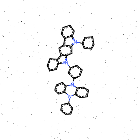 c1ccc(N2c3ccccc3N(c3cccc(-n4c5ccccc5c5cc6c7ccccc7n(-c7ccccc7)c6cc54)c3)c3ccccc32)cc1